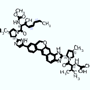 C=C(O)N[C@H](C(=O)N1C[C@@H](C)C[C@H]1c1nc2ccc3cc4c(cc3c2[nH]1)OCc1cc(-c2cnc([C@@H]3C[C@H](C)CN3C(=O)[C@H](NC(=O)OC)C(=C)/C=C\C=C/C)[nH]2)ccc1-4)C(C)C